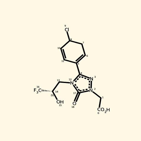 O=C(O)Cn1nc(C2=CCC(Cl)C=C2)n(C[C@H](O)C(F)(F)F)c1=O